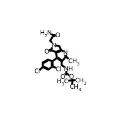 Cc1nc2c(c(-c3ccc(Cl)cc3Cl)c1CNC(=O)OC(C)(C)C)C(=O)N(CC(N)=O)C2